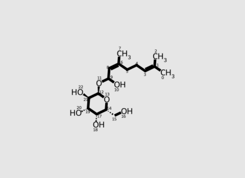 CC(C)=CCC/C(C)=C\C(O)O[C@H]1O[C@H](CO)[C@H](O)[C@H](O)[C@H]1O